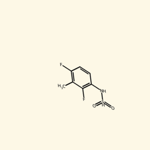 Cc1c(F)ccc(N[SH](=O)=O)c1F